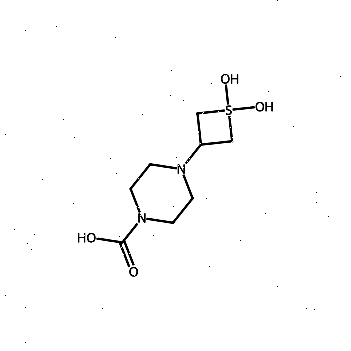 O=C(O)N1CCN(C2CS(O)(O)C2)CC1